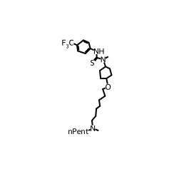 CCCCCN(C)CCCCCCCOC1CCC(N(C)C(=S)Nc2ccc(C(F)(F)F)cc2)CC1